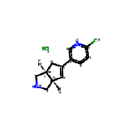 Cl.Clc1ccc(C2=C[C@H]3CNC[C@H]3C2)cn1